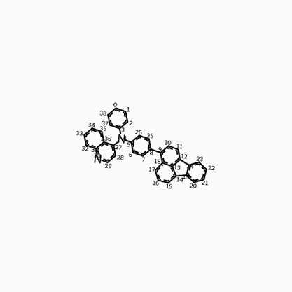 c1ccc(N(c2ccc(-c3ccc4c5c(cccc35)-c3ccccc3-4)cc2)c2ccnc3ccccc23)cc1